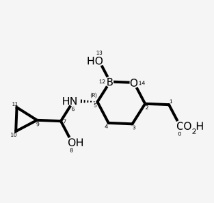 O=C(O)CC1CC[C@H](NC(O)C2CC2)B(O)O1